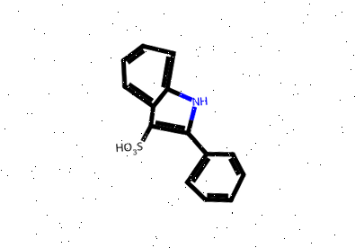 O=S(=O)(O)c1c(-c2ccccc2)[nH]c2ccccc12